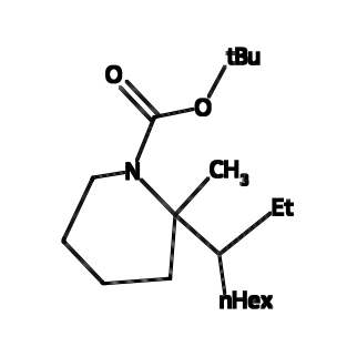 CCCCCCC(CC)C1(C)CCCCN1C(=O)OC(C)(C)C